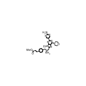 CCn1c(CN(C)Cc2ccc(C=CC(=O)OC)cc2)nc2c(N3CCOCC3)nc(-c3cnc(N)nc3)nc21